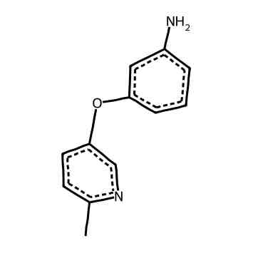 Cc1ccc(Oc2cccc(N)c2)cn1